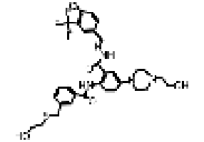 O=C(Nc1ccc(N2CCN(CCO)CC2)cc1C(=O)NN=Cc1ccc(Cl)c(C(F)(F)F)c1)c1cccc(CSCCO)c1